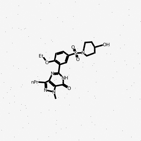 CCCc1nn(C)c2c(=O)[nH]c(-c3cc(S(=O)(=O)N4CCC(O)CC4)ccc3OCC)nc12